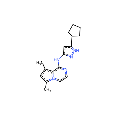 Cc1cc(C)n2ccnc(Nc3cc(C4CCCC4)[nH]n3)c12